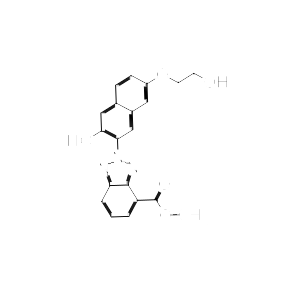 COC(=O)c1cccc2nn(-c3cc4cc(OCCO)ccc4cc3O)nc12